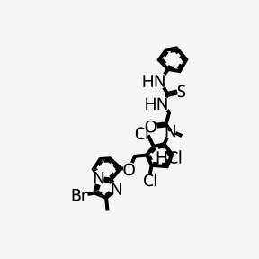 Cc1nc2c(OCc3c(Cl)ccc(N(C)C(=O)CNC(=S)Nc4ccccc4)c3Cl)cccn2c1Br.Cl